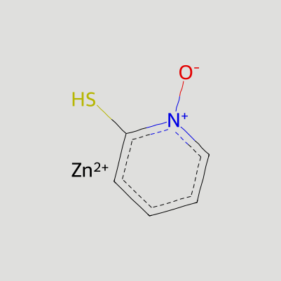 [O-][n+]1ccccc1S.[Zn+2]